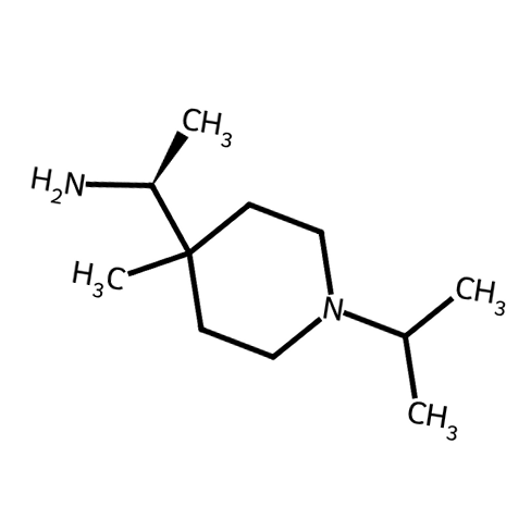 CC(C)N1CCC(C)([C@H](C)N)CC1